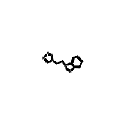 [c]1nc2ccccc2n1CCn1cnnn1